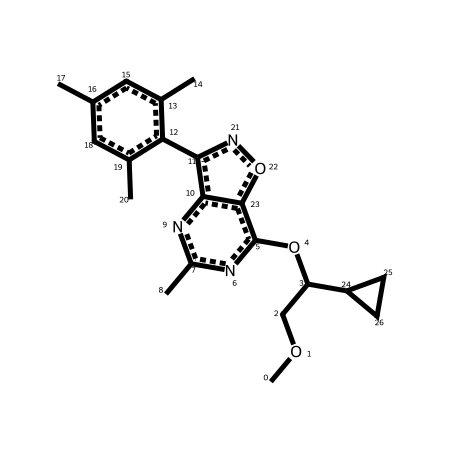 COCC(Oc1nc(C)nc2c(-c3c(C)cc(C)cc3C)noc12)C1CC1